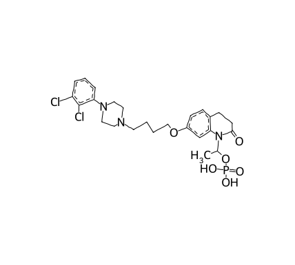 CC(OP(=O)(O)O)N1C(=O)CCc2ccc(OCCCCN3CCN(c4cccc(Cl)c4Cl)CC3)cc21